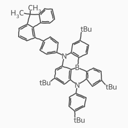 CC(C)(C)c1ccc(N2c3cc(C(C)(C)C)ccc3B3c4ccc(C(C)(C)C)cc4N(c4ccc(-c5cccc6c5-c5ccccc5C6(C)C)cc4)c4cc(C(C)(C)C)cc2c43)cc1